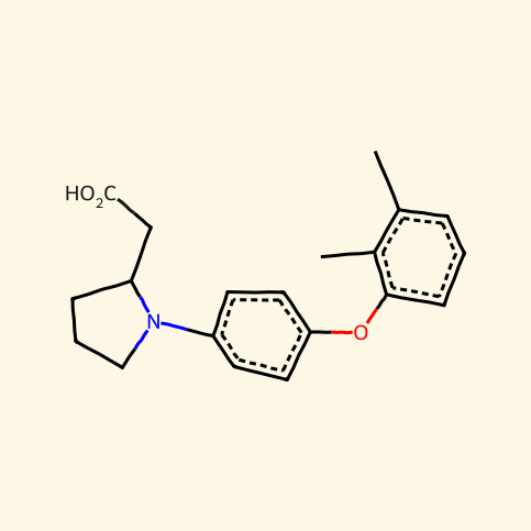 Cc1cccc(Oc2ccc(N3CCCC3CC(=O)O)cc2)c1C